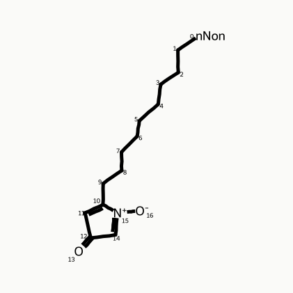 CCCCCCCCCCCCCCCCCCC1=CC(=O)C=[N+]1[O-]